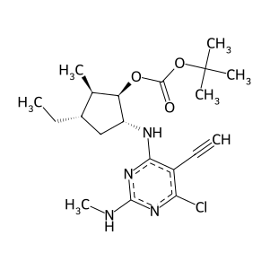 C#Cc1c(Cl)nc(NC)nc1N[C@@H]1C[C@H](CC)[C@@H](C)[C@H]1OC(=O)OC(C)(C)C